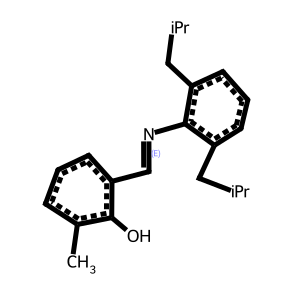 Cc1cccc(/C=N/c2c(CC(C)C)cccc2CC(C)C)c1O